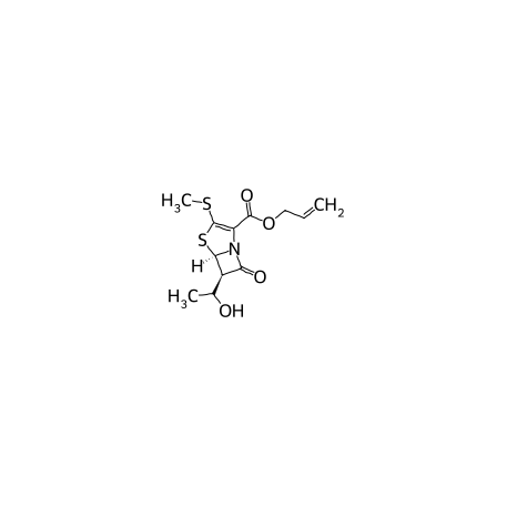 C=CCOC(=O)C1=C(SC)S[C@@H]2[C@H](C(C)O)C(=O)N12